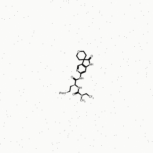 CCC[C@H](C)CC[C@H](NC(=O)N(C)CC(F)(F)F)C(=O)Nc1cc2c(cn1)C1(CCOCC1)C(=O)N2